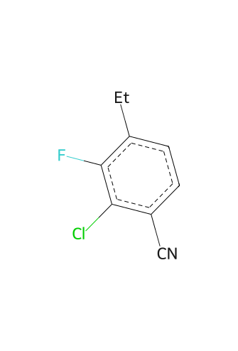 CCc1ccc(C#N)c(Cl)c1F